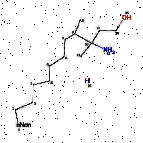 CCCCCCCCCCCCCCCCC(C)C(C)(N)CCO.I